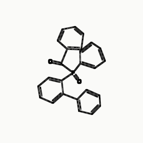 O=C(c1ccccc1)P(=O)(c1ccccc1)c1ccccc1-c1ccccc1